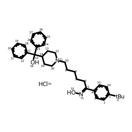 CC(C)(C)c1ccc(C(CCCCCN2CCC(C(O)(c3ccccc3)c3ccccc3)CC2)=NO)cc1.Cl